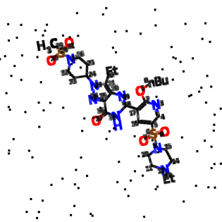 CCCCOc1ncc(S(=O)(=O)N2CCN(CC)CC2)cc1-c1nc2c(CC)n(C3CCN(S(C)(=O)=O)CC3)nc2c(=O)[nH]1